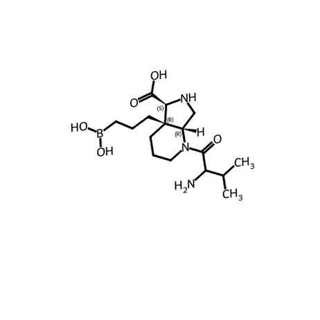 CC(C)C(N)C(=O)N1CCC[C@]2(CCCB(O)O)[C@@H](C(=O)O)NC[C@H]12